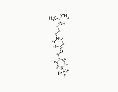 CC(C)NCCCN1CCC(OCc2ccc(C(F)(F)F)cc2)CC1